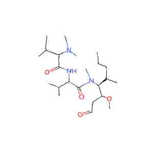 CCCC(C)[C@@H](C(CC=O)OC)N(C)C(=O)C(NC(=O)C(C(C)C)N(C)C)C(C)C